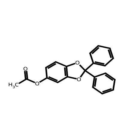 CC(=O)Oc1ccc2c(c1)OC(c1ccccc1)(c1ccccc1)O2